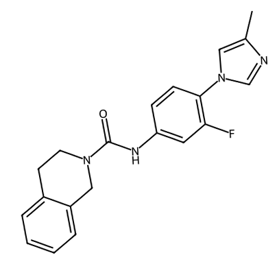 Cc1cn(-c2ccc(NC(=O)N3CCc4ccccc4C3)cc2F)cn1